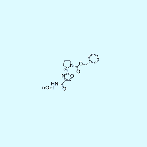 CCCCCCCCNC(=O)c1coc([C@@H]2CCCN2C(=O)OCc2ccccc2)n1